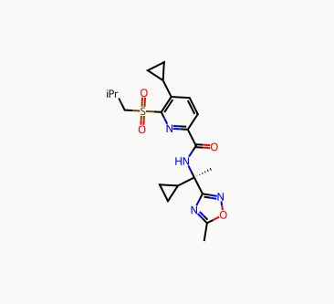 Cc1nc([C@](C)(NC(=O)c2ccc(C3CC3)c(S(=O)(=O)CC(C)C)n2)C2CC2)no1